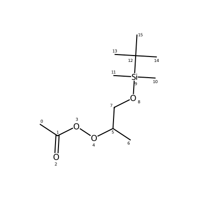 CC(=O)OOC(C)CO[Si](C)(C)C(C)(C)C